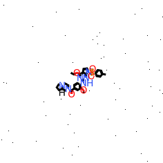 CCOc1nc(Nc2ccc(C(=O)N3CCN4CCC[C@@H]4C3)cc2OC)nc2c1ccn2S(=O)(=O)c1ccc(C)cc1